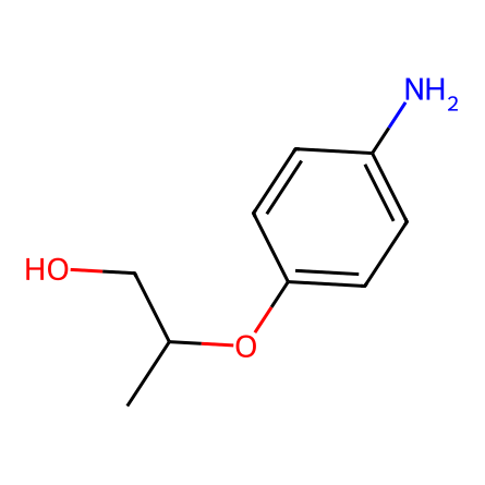 CC(CO)Oc1ccc(N)cc1